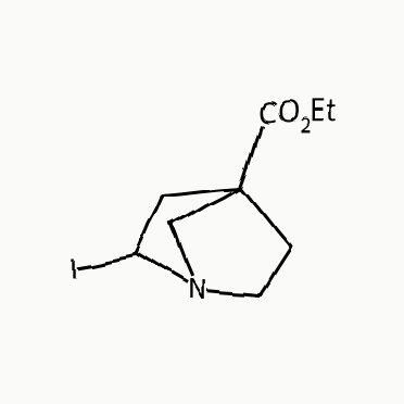 CCOC(=O)C12CCN(C1)C(I)C2